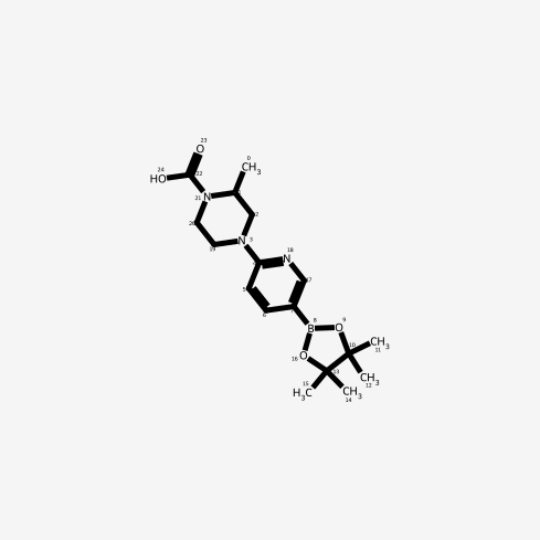 CC1CN(c2ccc(B3OC(C)(C)C(C)(C)O3)cn2)CCN1C(=O)O